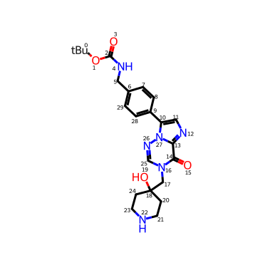 CC(C)(C)OC(=O)NCc1ccc(-c2cnc3c(=O)n(CC4(O)CCNCC4)cnn23)cc1